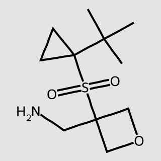 CC(C)(C)C1(S(=O)(=O)C2(CN)COC2)CC1